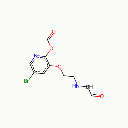 O=CBNCCOc1cc(Br)cnc1OC=O